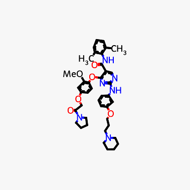 COc1cc(OCC(=O)N2CCCC2)ccc1Oc1nc(Nc2cccc(OCCCN3CCCCC3)c2)ncc1C(=O)Nc1c(C)cccc1C